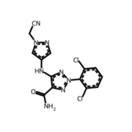 N#CCn1cc(Nc2nn(-c3c(Cl)cccc3Cl)nc2C(N)=O)cn1